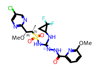 COc1cccc(C(=O)N/N=C(\NC2CC2(F)F)NS(=O)(=O)[C@@H](C)[C@H](OC)c2ncc(Cl)cn2)n1